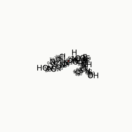 Cc1c(C(=O)N2CC(C)(O)C2)c(-c2cccc(N3CCN(c4ccc(NS(=O)(=O)c5ccc(N[C@H](CCN6CC(C)(O)C6)CSc6ccccc6)c(S(=O)(=O)C(F)(F)F)c5)cc4)CC3)c2)c(-c2ccc(Cl)cc2)n1C